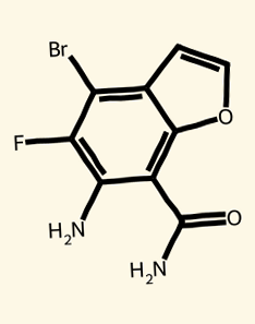 NC(=O)c1c(N)c(F)c(Br)c2ccoc12